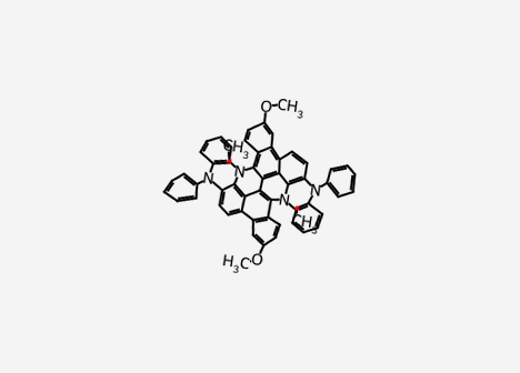 CCn1c2c3c4c(ccc(N(c5ccccc5)c5ccccc5)c4n(CC)c4c-3c3c(ccc(N(c5ccccc5)c5ccccc5)c31)c1cc(OC)ccc14)c1cc(OC)ccc12